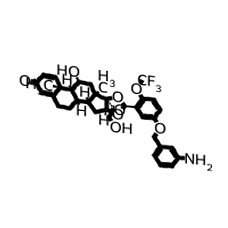 C[C@]12C=CC(=O)C=C1CC[C@@H]1[C@H]2[C@@H](O)C[C@@]2(C)[C@@H]1C[C@@H]1O[C@H](c3cc(OCc4cccc(N)c4)ccc3OC(F)(F)F)O[C@@]12C(=O)CO